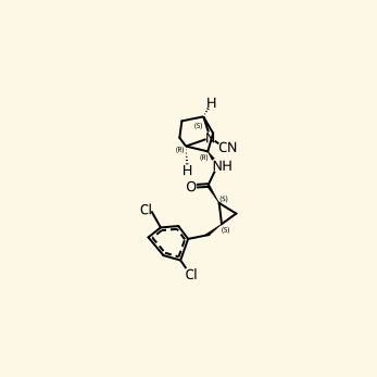 N#CN1[C@H]2CC[C@@H]1[C@H](NC(=O)[C@H]1C[C@H]1Cc1cc(Cl)ccc1Cl)C2